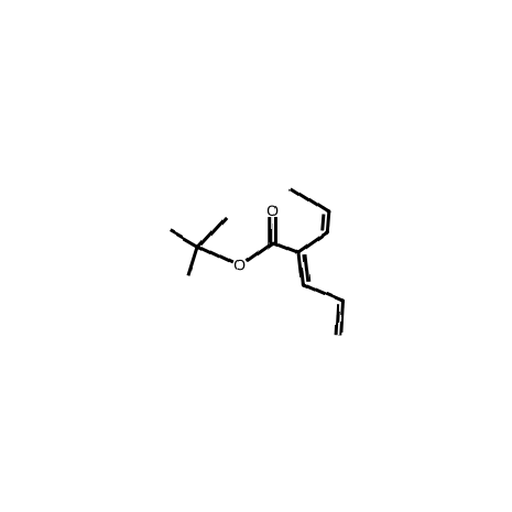 C=C/C=C(\C=C/C)C(=O)OC(C)(C)C